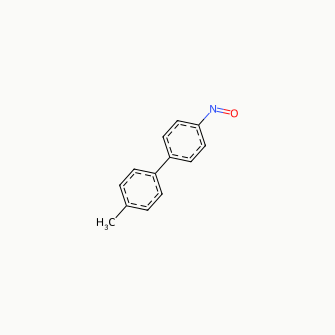 Cc1ccc(-c2ccc(N=O)cc2)cc1